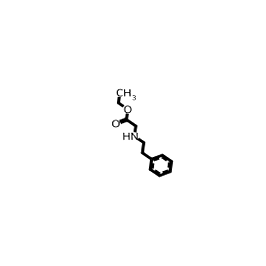 CCOC(=O)CNCCc1ccccc1